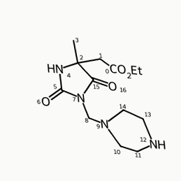 CCOC(=O)CC1(C)NC(=O)N(CN2CCNCC2)C1=O